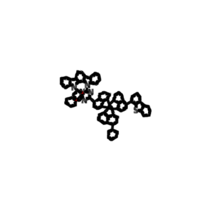 c1ccc(-c2nc(-c3ccc4c5c(cccc35)C35c6cccc7c(-c8cccc9c8sc8ccccc89)ccc(c67)C36c3ccc(-c7ccccc7)c7cccc(c37)C465)nc(-n3c4ccccc4c4ccc5c6ccccc6n(-c6ccccc6)c5c43)n2)cc1